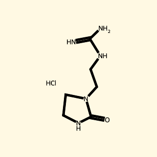 Cl.N=C(N)NCCN1CCNC1=O